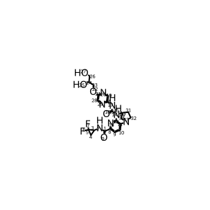 O=C(NC1CC1(F)F)c1ccc2c(n1)N(C(=O)Nc1cnc(OCC(O)CO)cn1)[C@H]1CCN2C1